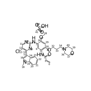 C=CC(=O)Nc1cc(Nc2ncc(Cl)c(-c3cn(C)c4ccccc34)n2)c(OC)cc1OCCCN1CCOCC1.CS(=O)(=O)O